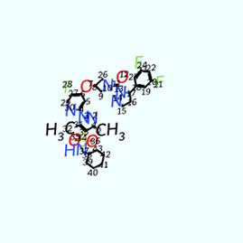 Cc1nn(-c2cc(OC3CN(C(=O)N4N=CCC4c4cc(F)cc(F)c4)C3)c(F)cn2)c(C)c1S(=O)(=O)NC1CCCCC1